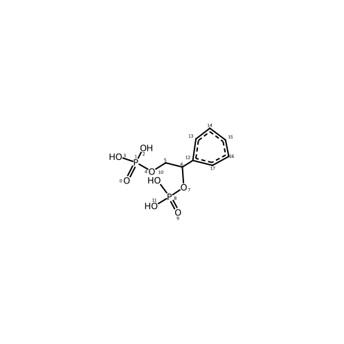 O=P(O)(O)OCC(OP(=O)(O)O)c1ccccc1